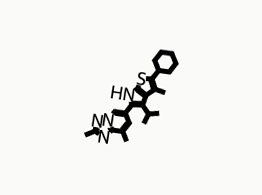 Cc1nc2c(C)cc(-c3[nH]c4sc(C5CCCCC5)c(C)c4c3C(C)C)cn2n1